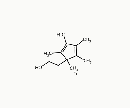 CC1=C(C)C(C)(CCO)C(C)=C1C.[Ti]